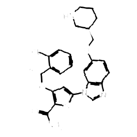 C[C@@H](Oc1cc(-n2cnc3ccc(OC[C@@H]4CCCNC4)cc32)sc1C(N)=O)c1ccccc1Cl